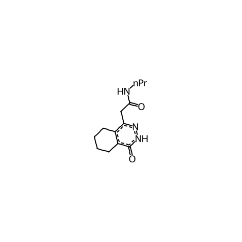 CCCNC(=O)Cc1n[nH]c(=O)c2c1CCCC2